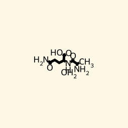 CC(N)C(=O)NC(CCC(N)=O)C(=O)O.O